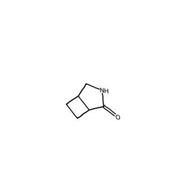 O=C1NCC2CCC12